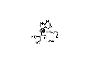 OC[C@H]1OC(O)[C@H](O)[C@@H]1O.c1nc(N[C@H]2CCOC2)c2[nH]cnc2n1